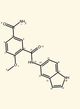 COc1ccc(C(N)=O)cc1C(=O)Nc1ccc2[nH]ccc2c1